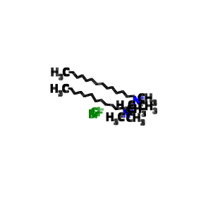 CCCCCCCCCCCCCC[N+](C)(C)C.CCCCCCCCCCCC[N+](C)(C)C.[Br-].[Cl-]